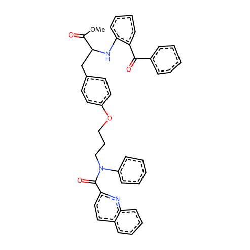 COC(=O)C(Cc1ccc(OCCCN(C(=O)c2ccc3ccccc3n2)c2ccccc2)cc1)Nc1ccccc1C(=O)c1ccccc1